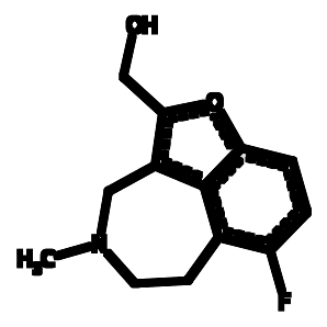 CN1CCc2c(F)ccc3oc(CO)c(c23)C1